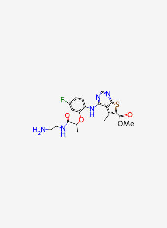 COC(=O)c1sc2ncnc(Nc3ccc(F)cc3OC(C)C(=O)NCCN)c2c1C